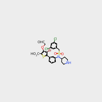 O=CCOc1c(C(=O)O)sc(-c2cccc(N(C3CCNCC3)S(=O)(=O)Cc3cc(Cl)cc(Cl)c3)c2)c1Br